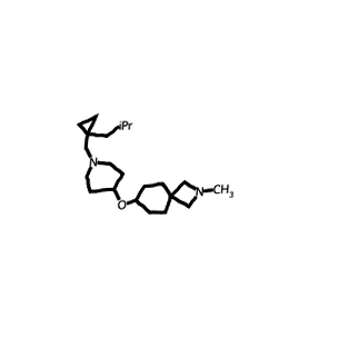 CC(C)CC1(CN2CCC(OC3CCC4(CC3)CN(C)C4)CC2)CC1